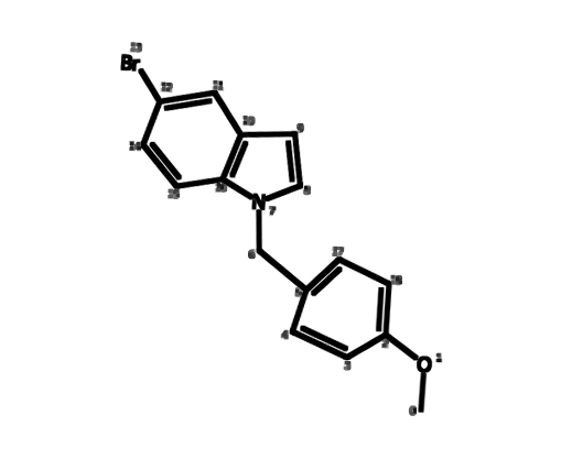 COc1ccc(Cn2ccc3cc(Br)ccc32)cc1